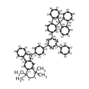 CC1(C)CCC(C)(C)c2cc3c(cc21)c1ccccc1n3-c1ccc(-c2nc(-c3ccccc3)nc(-c3ccc4c(c3)C3(c5ccccc5-c5ccccc53)c3ccccc3-4)n2)cc1